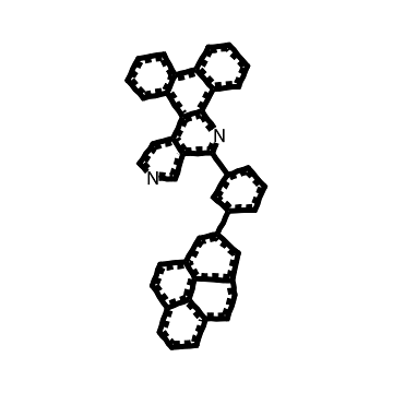 c1cc(-c2cc3ccc4cccc5ccc(c2)c3c45)cc(-c2nc3c4ccccc4c4ccccc4c3c3ccncc23)c1